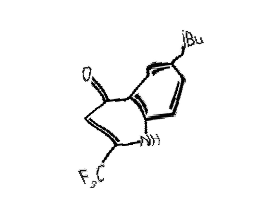 CCC(C)c1ccc2[nH]c(C(F)(F)F)cc(=O)c2c1